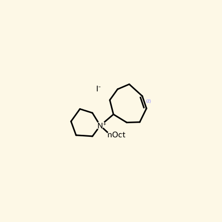 CCCCCCCC[N+]1(C2CC/C=C\CCC2)CCCCC1.[I-]